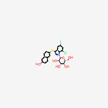 OC[C@H]1O[C@@H](n2cc(Sc3ccc4cc(O)ccc4c3)c3cc(F)cc(Cl)c32)[C@H](O)[C@@H](O)[C@@H]1O